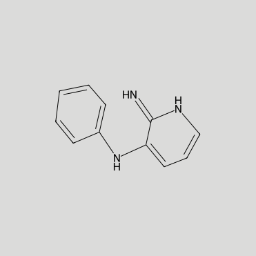 N=c1[nH]cccc1Nc1ccccc1